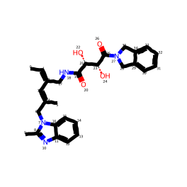 C/C=C(\C=C(/C)Cn1c(C)nc2ccccc21)CNC(=O)[C@H](O)[C@@H](O)C(=O)N1Cc2ccccc2C1